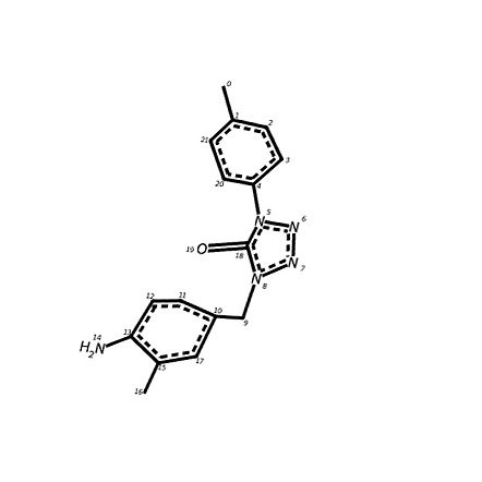 Cc1ccc(-n2nnn(Cc3ccc(N)c(C)c3)c2=O)cc1